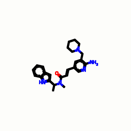 CC(c1cc2ccccc2[nH]1)N(C)C(=O)C=Cc1cnc(N)c(CN2CCCCC2)c1